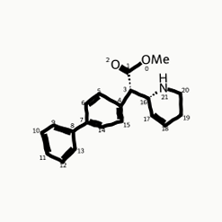 COC(=O)[C@@H](c1ccc(-c2ccccc2)cc1)[C@H]1C=CCCN1